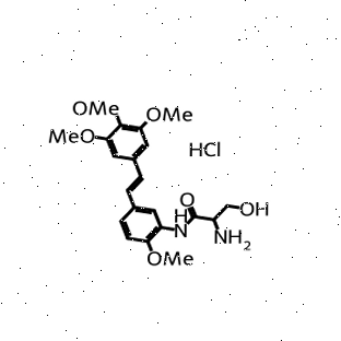 COc1ccc(C=Cc2cc(OC)c(OC)c(OC)c2)cc1NC(=O)C(N)CO.Cl